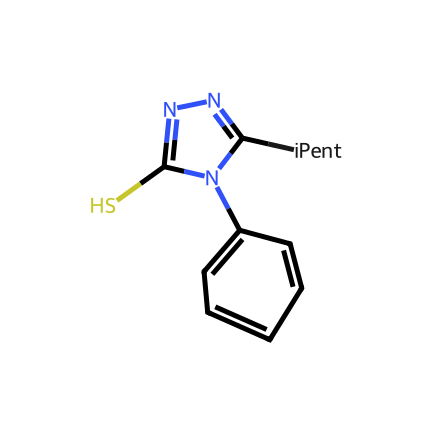 CCCC(C)c1nnc(S)n1-c1ccccc1